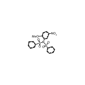 COc1ccc([N+](=O)[O-])cc1N(S(=O)(=O)c1ccccc1)S(=O)(=O)c1ccccc1